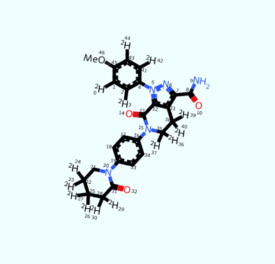 [2H]c1c([2H])c(-n2nc(C(N)=O)c3c2C(=O)N(c2ccc(N4CC([2H])([2H])C([2H])([2H])C([2H])([2H])C4=O)cc2)C([2H])([2H])C3([2H])[2H])c([2H])c([2H])c1OC